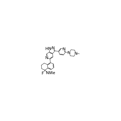 CNC1(F)CCCc2c(-c3cc4c(-c5ccc(N6CCN(C)CC6)nc5)n[nH]c4cn3)cccc21